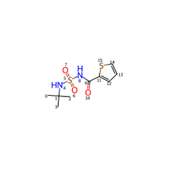 CC(C)(C)NS(=O)(=O)NC(=O)c1cccs1